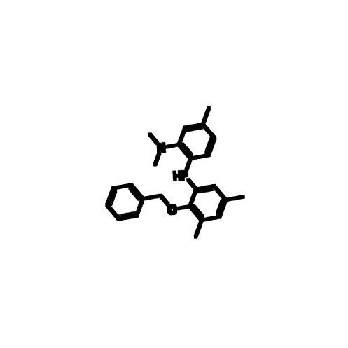 Cc1cc(C)c(OCc2ccccc2)c(Pc2ccc(C)cc2N(C)C)c1